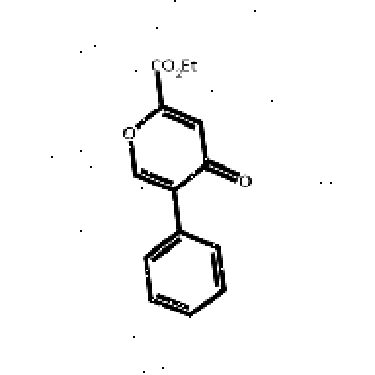 CCOC(=O)c1cc(=O)c(-c2ccccc2)co1